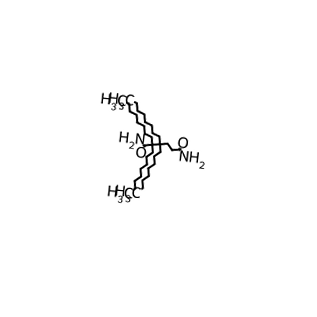 CCCCCCCCC(CCCCCCCC)(CCC(N)=O)C(CCCCCCCC)(CCCCCCCC)C(N)=O